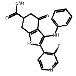 COC(=O)C1CC(=O)c2c([nH]c(-c3ccncc3F)c2Nc2ccccc2)C1